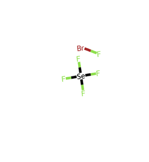 FBr.F[Se](F)(F)F